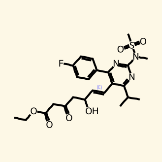 CCOC(=O)CC(=O)CC(O)/C=C/c1c(-c2ccc(F)cc2)nc(N(C)S(C)(=O)=O)nc1C(C)C